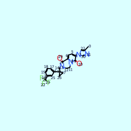 Cc1cn(-c2ccc3n(c2=O)CCN(CC2(c4cccc(C(F)(F)F)c4)CC2)C3=O)cn1